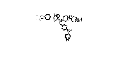 CN(c1ccncc1)c1ccc(CN(c2nc(-c3ccc(C(F)(F)F)cc3)no2)C2CC[N+](C)(C3CCNCC3)CC2)cc1